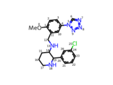 COc1ccc(-n2cnnn2)cc1CNC1CCCNC1c1cccc(Cl)c1